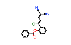 N#CC(C#N)=CC=C(Cl)c1ccccc1OC(=O)c1ccccc1